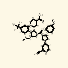 COC[C@H]1CN(C(=O)[C@@H]2CN(c3ccnc(C#N)c3)C[C@H]2c2ccc(OC)cc2)C[C@@H]1c1ccc(C(F)(F)F)cc1N1CCC(C(=O)O)CC1